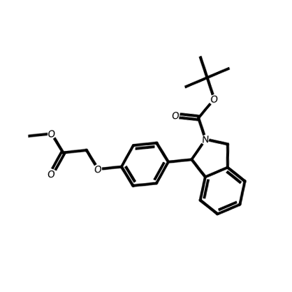 COC(=O)COc1ccc(C2c3ccccc3CN2C(=O)OC(C)(C)C)cc1